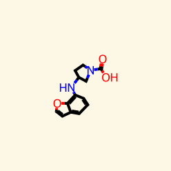 O=C(O)N1CCC(Nc2cccc3ccoc23)C1